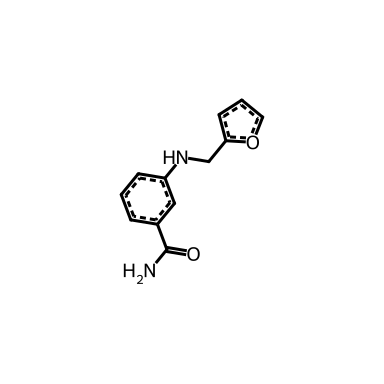 NC(=O)c1cccc(NCc2ccco2)c1